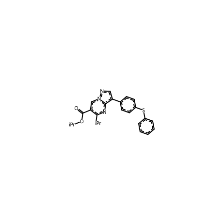 CC(C)OC(=O)c1cn2ncc(-c3ccc(Sc4ccccc4)cc3)c2nc1C(C)C